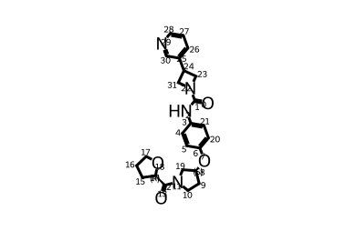 O=C(Nc1ccc(O[C@H]2CCN(C(=O)[C@H]3CCCO3)C2)cc1)N1CC(c2cccnc2)C1